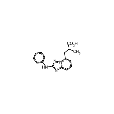 C[C@@H](Cc1cccc2nc(Nc3ccccc3)nn12)C(=O)O